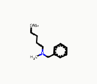 COCCCCN(C)Cc1ccccc1